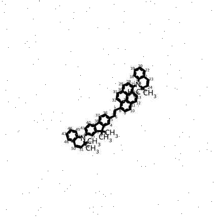 CC1(C)c2cc(/C=C/c3ccc4ccc5c(N6c7ccccc7C=CC6(C)C)ccc6ccc3c4c65)ccc2-c2ccc(N3c4ccccc4C=CC3(C)C)cc21